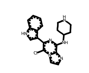 Clc1c(-c2c[nH]c3ccccc23)nc(NC2CCNCC2)c2nccn12